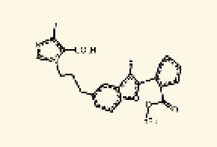 Cc1ncn(CCCc2ccc3oc(-c4ccccc4C(=O)OC(C)(C)C)c(Br)c3c2)c1C(=O)O